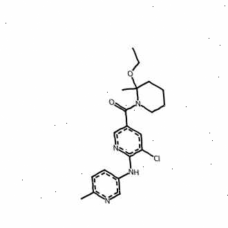 CCOC1(C)CCCCN1C(=O)c1cnc(Nc2ccc(C)nc2)c(Cl)c1